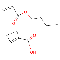 C=CC(=O)OCCCC.O=C(O)C1=CCC1